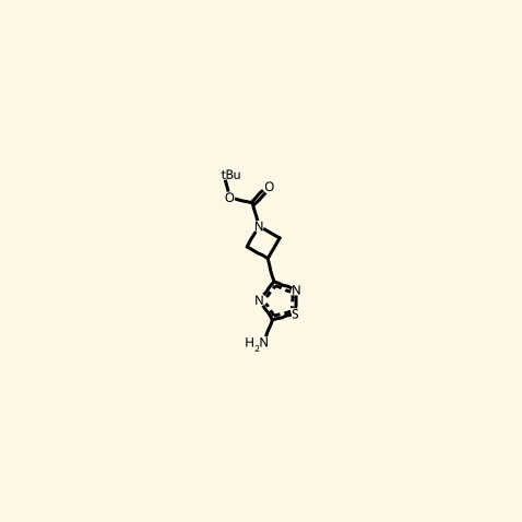 CC(C)(C)OC(=O)N1CC(c2nsc(N)n2)C1